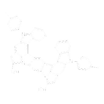 Cc1ccc(-n2c3ccccc3c3c4c5cc6c7c8c9ccccc9n(-c9ccc(C)cc9)c8cc8cc(C(C)(C)C)n(c6cc5n5c(C(C)(C)C)cc(cc32)c45)c87)cc1